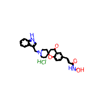 Cl.O=C(C=Cc1ccc2c(c1)C(=O)CC1(CCN(Cc3c[nH]c4ccccc34)CC1)O2)NO